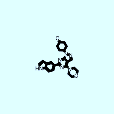 O=C1CCC(n2ncc3c(N4CCOCC4)nc(-c4ccc5[nH]ccc5c4)nc32)CC1